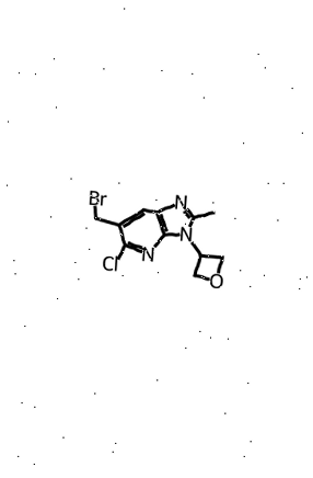 Cc1nc2cc(CBr)c(Cl)nc2n1C1COC1